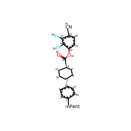 CCCCCc1ccc([C@H]2CC[C@H](C(=O)Oc3ccc(C#N)c(F)c3F)CC2)cc1